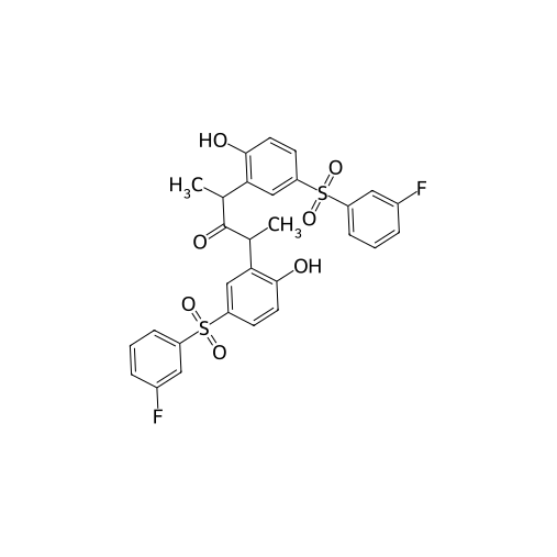 CC(C(=O)C(C)c1cc(S(=O)(=O)c2cccc(F)c2)ccc1O)c1cc(S(=O)(=O)c2cccc(F)c2)ccc1O